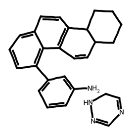 C1=NC=NNC1.Nc1cccc(-c2cccc3ccc4c(c23)C=CC2CCCCC42)c1